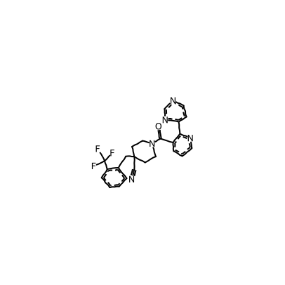 N#CC1(Cc2ccccc2C(F)(F)F)CCN(C(=O)c2cccnc2-c2ccncn2)CC1